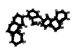 O=S(=O)(O)c1c(-c2ccc3ccc4cccnc4c3n2)cccc1-c1ccc2ccc3cccnc3c2n1